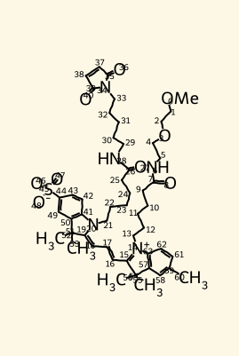 COCCOCCNC(=O)CCCCC[N+]1=C(C=CC=C2N(CCCCCC(=O)NCCCCCN3C(=O)C=CC3=O)c3ccc(S(=O)(=O)[O-])cc3C2(C)C)C(C)(C)c2cc(C)ccc21